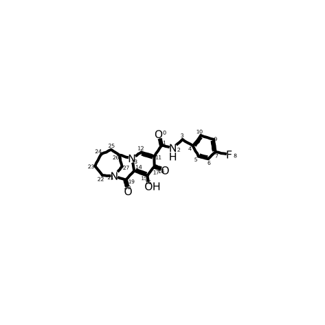 O=C(NCc1ccc(F)cc1)c1cn2c(c(O)c1=O)C(=O)N1CCCCC2C1